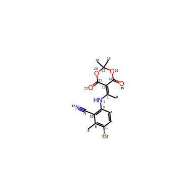 CC(Nc1ccc(Br)c(C)c1C#N)=C1C(=O)OC(C)(C)OC1=O